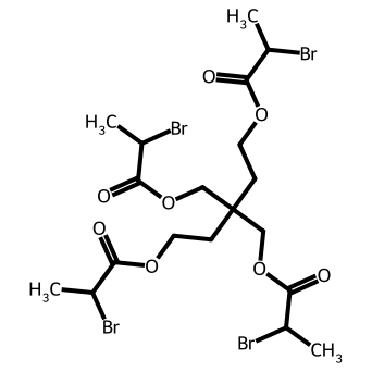 CC(Br)C(=O)OCCC(CCOC(=O)C(C)Br)(COC(=O)C(C)Br)COC(=O)C(C)Br